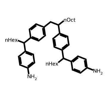 CCCCCCCCC(Cc1ccc(C(CCCCCC)c2ccc(N)cc2)cc1)c1ccc(C(CCCCCC)c2ccc(N)cc2)cc1